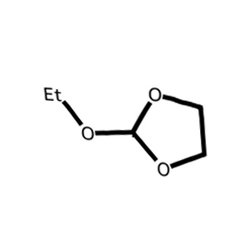 CCO[C]1OCCO1